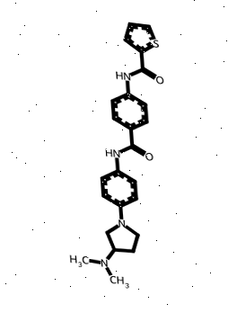 CN(C)C1CCN(c2ccc(NC(=O)c3ccc(NC(=O)c4cccs4)cc3)cc2)C1